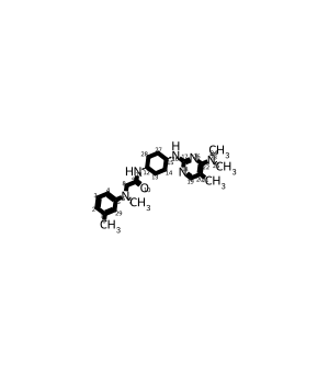 Cc1cccc(N(C)CC(=O)N[C@H]2CC[C@@H](Nc3ncc(C)c(N(C)C)n3)CC2)c1